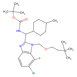 CC1CCC(C(NC(=O)OC(C)(C)C)c2nc3ccc(Br)c(F)c3n2COCC[Si](C)(C)C)CC1